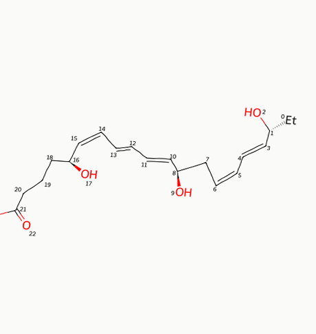 CC[C@@H](O)/C=C/C=C\C[C@@H](O)/C=C/C=C/C=C\[C@@H](O)CCCC(=O)OC(C)C